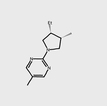 CC[C@H]1CN(c2ncc(C)cn2)C[C@H]1C